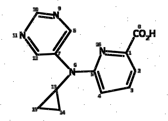 O=C(O)c1cccc(N(c2cncnc2)C2CC2)n1